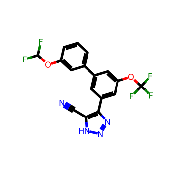 N#Cc1[nH]nnc1-c1cc(OC(F)(F)F)cc(-c2cccc(OC(F)F)c2)c1